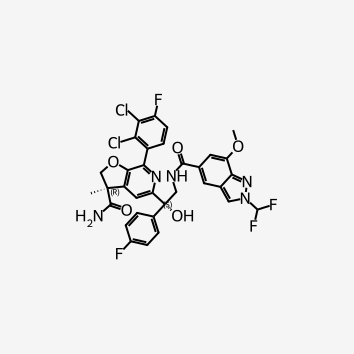 COc1cc(C(=O)NC[C@@](O)(c2ccc(F)cc2)c2cc3c(c(-c4ccc(F)c(Cl)c4Cl)n2)OC[C@]3(C)C(N)=O)cc2cn(C(F)F)nc12